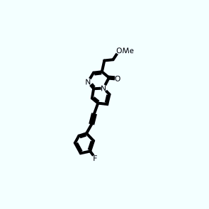 COCCc1cnc2cc(C#Cc3cccc(F)c3)ccn2c1=O